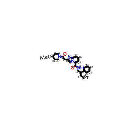 COC1CCN(C(=O)Cc2cn3c(C(=O)NCC(CC(C)C)c4ccccc4)cccc3n2)CC1